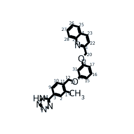 Cc1cc(-c2nnn[nH]2)ccc1COc1cccc(OCc2ccc3ccccc3n2)c1